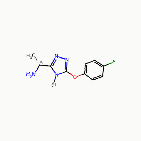 CCn1c(Oc2ccc(F)cc2)nnc1[C@@H](C)N